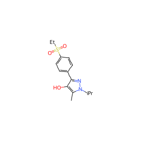 CCS(=O)(=O)c1ccc(-c2nn(C(C)C)c(C)c2O)cc1